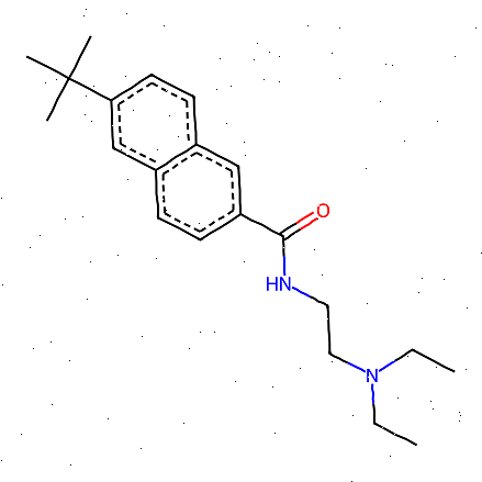 CCN(CC)CCNC(=O)c1ccc2cc(C(C)(C)C)ccc2c1